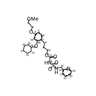 COCCOc1ccc(CCCOC(=O)NS(=O)(=O)NCc2ccccn2)c(OC2CCCCC2)c1